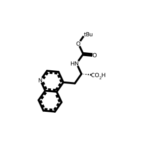 CC(C)(C)OC(=O)N[C@@H](Cc1ccnc2ccccc12)C(=O)O